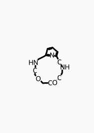 c1cc2nc(c1)CNCCOCCOCCNC2